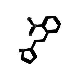 O=[N+]([O-])c1ccccc1CCc1ccc[nH]1